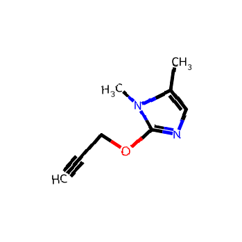 C#CCOc1ncc(C)n1C